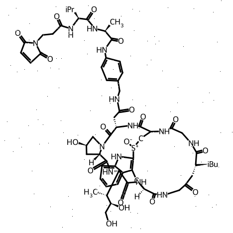 CC[C@H](C)[C@@H]1CC(=O)CNC(=O)[C@@H]2Cc3c([nH]c4ccccc34)[S+]([O-])CC(NC(=O)CNC1=O)C(=O)N[C@@H](CC(=O)NCc1ccc(NC(=O)[C@H](C)NC(=O)[C@@H](NC(=O)CCN3C(=O)C=CC3=O)C(C)C)cc1)C(=O)N1C[C@H](O)C[C@H]1C(=O)N[C@@H]([C@@H](C)[C@@H](O)CO)C(=O)N2